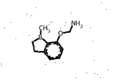 CB1CCc2cccc(OCN)c21